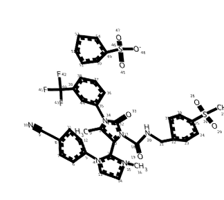 Cc1c(-c2n(-c3ccc(C#N)cc3)cc[n+]2C)n(C(=O)NCc2ccc(S(C)(=O)=O)cc2)c(=O)n1-c1cccc(C(F)(F)F)c1.O=S(=O)([O-])c1ccccc1